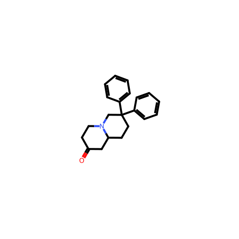 O=C1CCN2CC(c3ccccc3)(c3ccccc3)CCC2C1